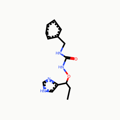 CCC(ONC(=O)NCc1ccccc1)c1c[nH]cn1